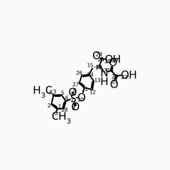 Cc1cc(C)cc(S(=O)(=O)Oc2ccc(C[C@@H](NC(=O)C(=O)O)C(=O)O)cc2)c1